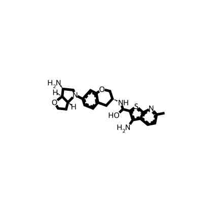 Cc1ccc2c(N)c(C(O)N[C@H]3COc4cc(N5C[C@@H](N)[C@@H]6OCC[C@@H]65)ccc4C3)sc2n1